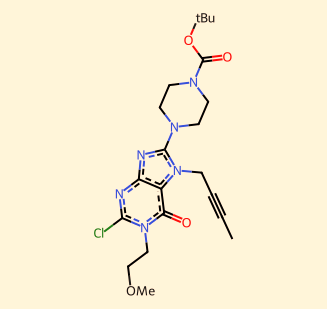 CC#CCn1c(N2CCN(C(=O)OC(C)(C)C)CC2)nc2nc(Cl)n(CCOC)c(=O)c21